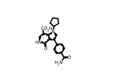 NC(=O)c1ccc(-c2cn(C3CCCC3)c3c(C(=O)O)c[nH]c(=O)c23)cc1